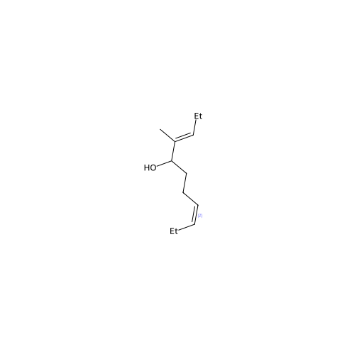 CCC=C(C)C(O)CC/C=C\CC